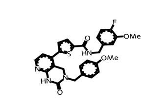 COc1ccc(CN2Cc3c(-c4ccc(C(=O)NCc5ccc(F)c(OC)c5)s4)ccnc3NC2=O)cc1